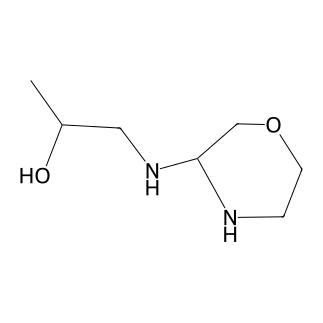 CC(O)CNC1COCCN1